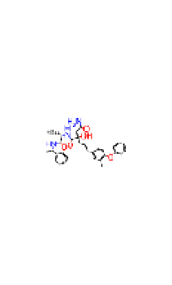 Cc1cc(CCC[C@@](O)(CC(N)=O)C(=O)N[C@H](C(=O)N[C@H](C)c2ccccc2)C(C)(C)C)ccc1Oc1ccccc1